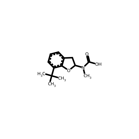 CN(C(=O)O)C1Cc2cccc(C(C)(C)C)c2O1